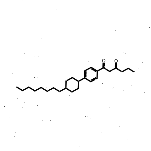 CCCCCCCCC1CCC(c2ccc(C(=O)CC(=O)CCC)cc2)CC1